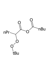 CCCCC(=O)OC(=O)C(CCC)OOC(C)(C)C